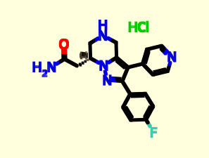 Cl.NC(=O)C[C@@H]1CNCc2c(-c3ccncc3)c(-c3ccc(F)cc3)nn21